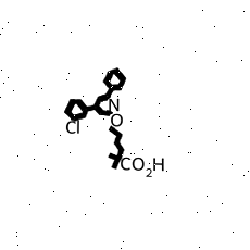 CC(C)(CCCCOc1cc(-c2cccc(Cl)c2)cc(-c2ccccc2)n1)C(=O)O